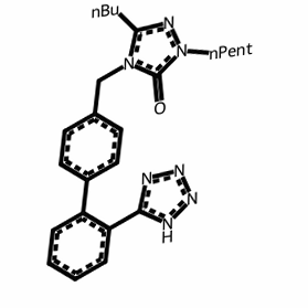 CCCCCn1nc(CCCC)n(Cc2ccc(-c3ccccc3-c3nnn[nH]3)cc2)c1=O